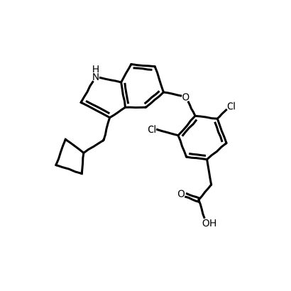 O=C(O)Cc1cc(Cl)c(Oc2ccc3[nH]cc(CC4CCC4)c3c2)c(Cl)c1